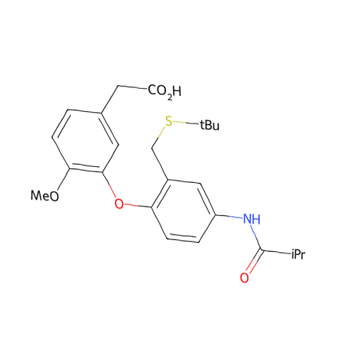 COc1ccc(CC(=O)O)cc1Oc1ccc(NC(=O)C(C)C)cc1CSC(C)(C)C